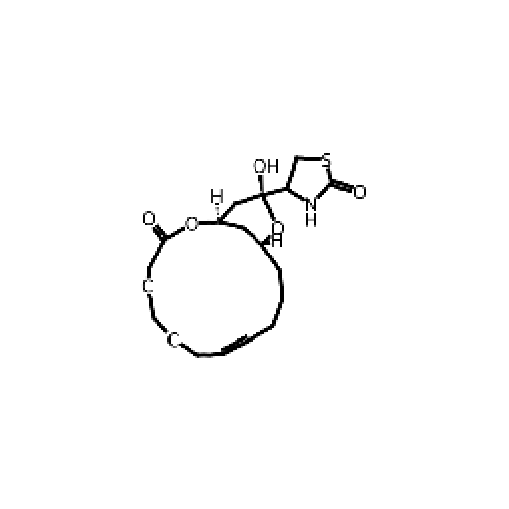 O=C1CCCCCC=CCCC[C@@H]2C[C@H](C[C@](O)(C3CSC(=O)N3)O2)O1